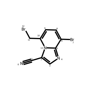 N#Cc1cnc2c(Br)ccc(CBr)n12